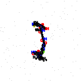 Cc1ncsc1-c1ccc(CNC(=O)[C@@H]2C[C@@H](O)CN2C(=O)[C@@H](NC(=O)CCCCCCNC(=O)CCC(=O)N2CCN(c3ccc(-c4cc(NC(=O)c5c[nH]c(=O)cc5C(F)(F)F)c(N5C[C@@H](C)N(C)[C@@H](C)C5)cc4F)cn3)CC2)C(C)(C)C)cc1